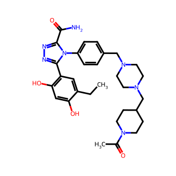 CCc1cc(-c2nnc(C(N)=O)n2-c2ccc(CN3CCN(CC4CCN(C(C)=O)CC4)CC3)cc2)c(O)cc1O